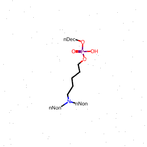 CCCCCCCCCCOP(=O)(O)OCCCCCN(CCCCCCCCC)CCCCCCCCC